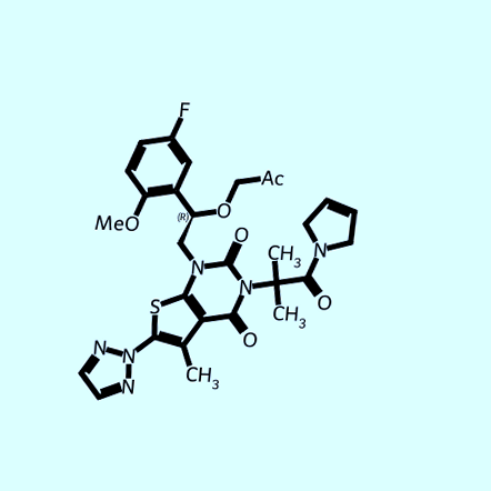 COc1ccc(F)cc1[C@H](Cn1c(=O)n(C(C)(C)C(=O)N2CC=CC2)c(=O)c2c(C)c(-n3nccn3)sc21)OCC(C)=O